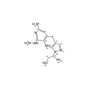 NNc1nc(N)cc(Cc2cnn(C(P)CO)c2)c1N